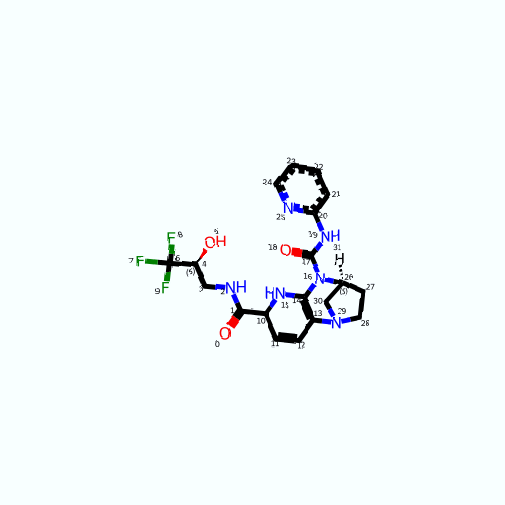 O=C(NC[C@H](O)C(F)(F)F)C1C=CC2=C(N1)N(C(=O)Nc1ccccn1)[C@H]1CCN2C1